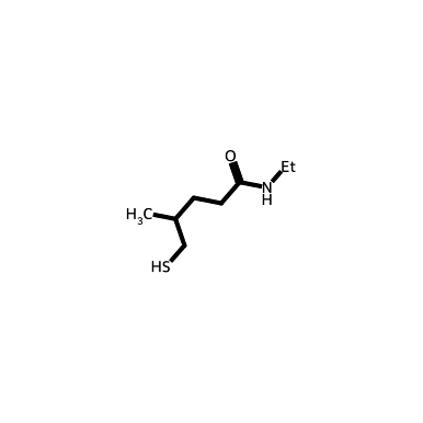 CCNC(=O)CCC(C)CS